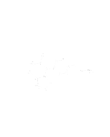 NN=Cc1ccc(C(C(=O)O)N2CCNC2S)cc1